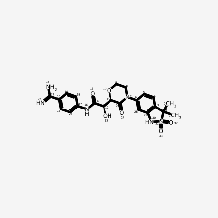 CC1(C)c2ccc(N3CCO[C@H]([C@@H](O)C(=O)Nc4ccc(C(=N)N)cc4)C3=O)cc2NS1(=O)=O